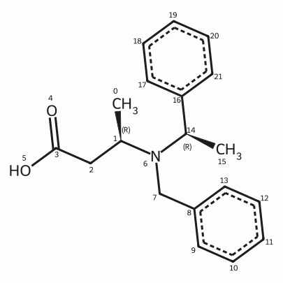 C[C@H](CC(=O)O)N(Cc1ccccc1)[C@H](C)c1ccccc1